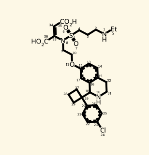 CCNCCCS(=O)(=O)N(CCOc1ccc2c(c1)C(C1(c3ccc(Cl)cc3)CCC1)NCC2)/C(=C\C(=O)O)C(=O)O